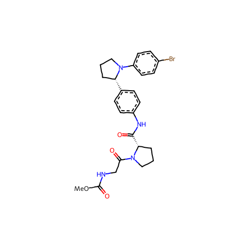 COC(=O)NCC(=O)N1CCC[C@H]1C(=O)Nc1ccc([C@@H]2CCCN2c2ccc(Br)cc2)cc1